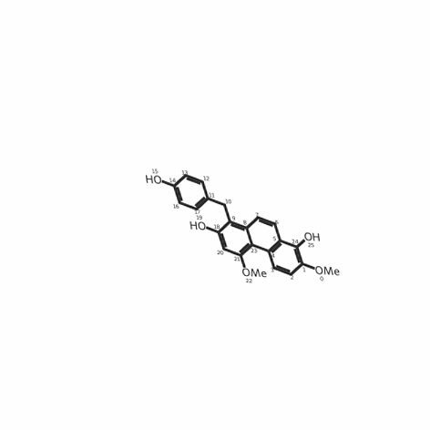 COc1ccc2c(ccc3c(Cc4ccc(O)cc4)c(O)cc(OC)c32)c1O